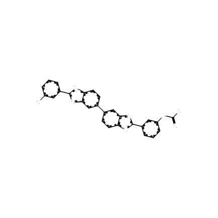 N=C(N)Nc1cccc(-c2nc3cc(-c4ccc5nc(-c6cccc(N)c6)[nH]c5c4)ccc3[nH]2)c1